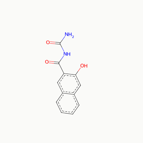 NC(=O)NC(=O)c1cc2ccccc2cc1O